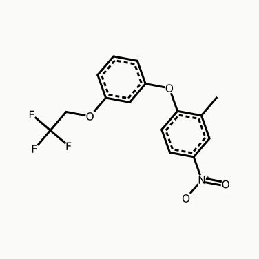 Cc1cc([N+](=O)[O-])ccc1Oc1cccc(OCC(F)(F)F)c1